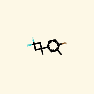 Cc1cc(C2(C)CC(F)(F)C2)ccc1Br